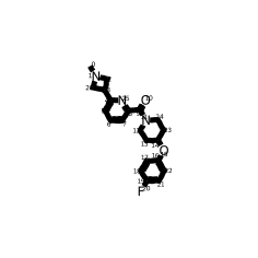 CN1CC(c2cccc(C(=O)N3CCC(Oc4ccc(F)cc4)CC3)n2)C1